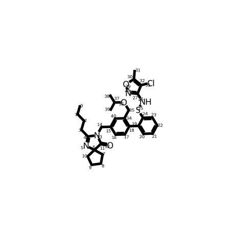 CCCCC1=NC2(CCCC2)C(=O)N1Cc1ccc(-c2ccccc2SNc2noc(C)c2Cl)c(COC(C)C)c1